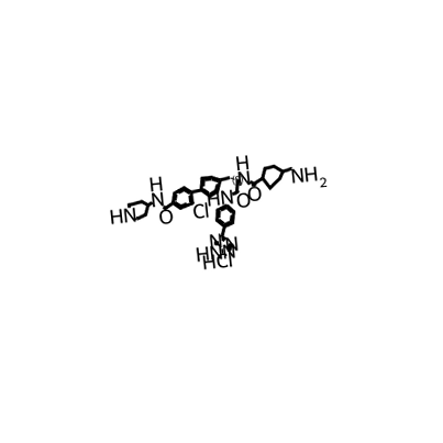 Cl.NCC1CCC(C(=O)N[C@@H](Cc2ccc(-c3ccc(C(=O)NC4CCNCC4)cc3Cl)cc2)C(=O)Nc2ccc(-c3nn[nH]n3)cc2)CC1